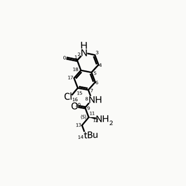 C=C1NC=Cc2cc(NC(=O)[C@@H](N)CC(C)(C)C)c(Cl)cc21